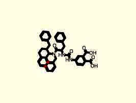 O=C(Nc1ccc(C(=O)O)c(C(=O)O)c1)NC(Cc1ccccc1)C(=O)N(Cc1ccccc1)C1c2ccccc2CCC1Cc1ccccc1